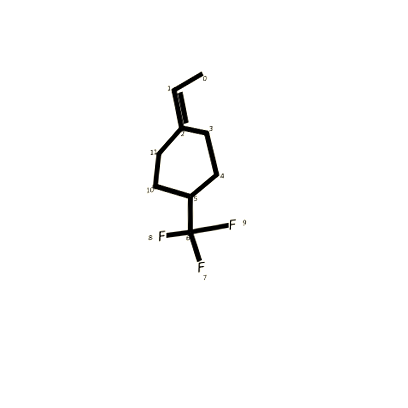 CC=C1CCC(C(F)(F)F)CC1